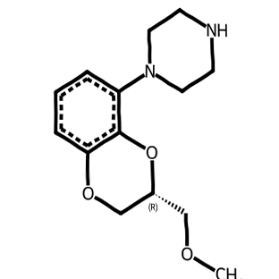 COC[C@@H]1COc2cccc(N3CCNCC3)c2O1